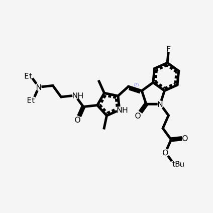 CCN(CC)CCNC(=O)c1c(C)[nH]c(/C=C2\C(=O)N(CCC(=O)OC(C)(C)C)c3ccc(F)cc32)c1C